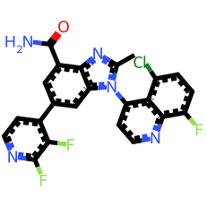 Cc1nc2c(C(N)=O)cc(-c3ccnc(F)c3F)cc2n1-c1ccnc2c(F)ccc(Cl)c12